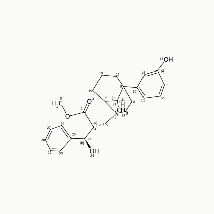 COC(=O)[C@H](CN1CCC2(c3cccc(O)c3)CCCC1[C@@H]2C)[C@@H](O)c1ccccc1